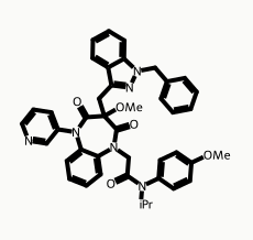 COc1ccc(N(C(=O)CN2C(=O)C(Cc3nn(Cc4ccccc4)c4ccccc34)(OC)C(=O)N(c3cccnc3)c3ccccc32)C(C)C)cc1